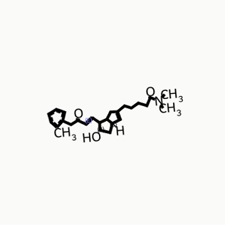 Cc1ccccc1CC(=O)/C=C/C1C2CC(CCCCC(=O)N(C)C)=C[C@H]2C[C@H]1O